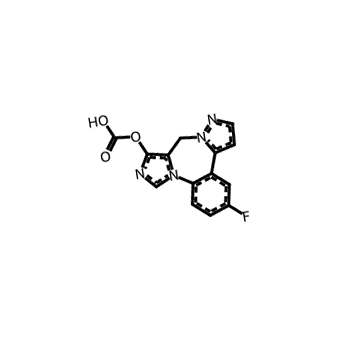 O=C(O)Oc1ncn2c1Cn1nccc1-c1cc(F)ccc1-2